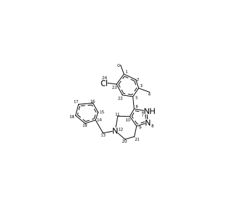 Cc1cc(C)c(-c2[nH]nc3c2CN(Cc2ccccc2)CC3)cc1Cl